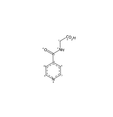 O=C(O)CNC(=O)c1ccncc1